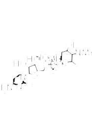 CNC1C(O)CC(OP(=O)(O)OC[C@H]2O[C@@H](n3ccc(N)nc3=O)[C@H](O)[C@@H]2O)(C(=O)O)OC1C